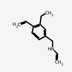 C=CNCc1ccc(C=C)c(CC)c1